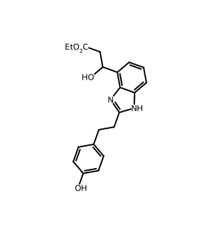 CCOC(=O)CC(O)c1cccc2[nH]c(CCc3ccc(O)cc3)nc12